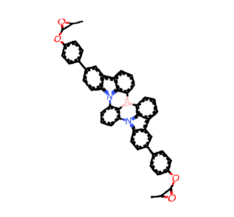 CC1OC1Oc1ccc(-c2ccc3c(c2)c2cccc4c2n3-c2cccc3c2B4c2cccc4c5cc(-c6ccc(OC7OC7C)cc6)ccc5n-3c24)cc1